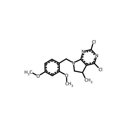 COc1ccc(CN2CC(C)c3c(Cl)nc(Cl)nc32)c(OC)c1